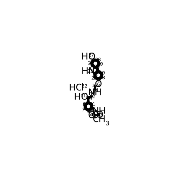 CS(=O)(=O)Nc1cccc([C@@H](O)CNCCOc2ccc3c(c2)[nH]c2cc(O)ccc23)c1.Cl